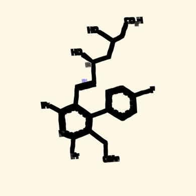 COCc1c(C(C)C)nc(C(C)C)c(/C=C/[C@@H](O)CC(O)CC(=O)O)c1-c1ccc(F)cc1